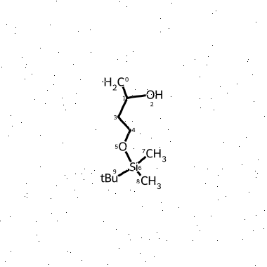 [CH2]C(O)CCO[Si](C)(C)C(C)(C)C